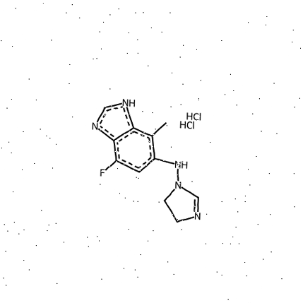 Cc1c(NN2C=NCC2)cc(F)c2nc[nH]c12.Cl.Cl